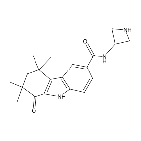 CC1(C)CC(C)(C)c2c([nH]c3ccc(C(=O)NC4CNC4)cc23)C1=O